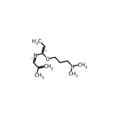 C=C(C)/C=N\C(=C/C)OCCCN(C)C